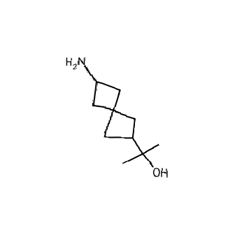 CC(C)(O)C1CC2(CC(N)C2)C1